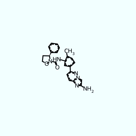 Cc1ccc(-c2ccc3nc(N)cn3n2)cc1NC(=O)N1OCC[C@H]1c1ccccc1